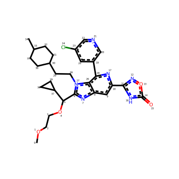 COCCOC(c1nc2cc(-c3noc(=O)[nH]3)nc(-c3cncc(Cl)c3)c2n1CCC1CCC(C)CC1)C1CC1